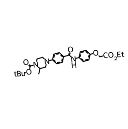 CCOC(=O)COc1ccc(NC(=O)c2ccc(N3CCN(C(=O)OC(C)(C)C)C(C)C3)cc2)cc1